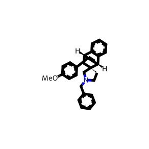 COc1ccc(C2=C[C@@H]3c4ccccc4[C@H]2C[C@@]32CCN(Cc3ccccc3)C2)cc1